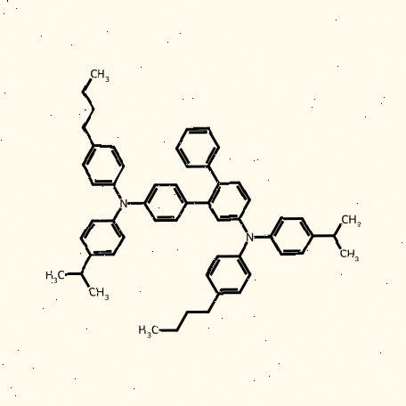 CCCCc1ccc(N(c2ccc(-c3cc(N(c4ccc(CCCC)cc4)c4ccc(C(C)C)cc4)ccc3-c3ccccc3)cc2)c2ccc(C(C)C)cc2)cc1